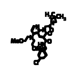 COCCN(CCOC)c1ccnc2c1cc(C(=O)NCc1ccc(Cl)cc1)c(=O)n2CC(=O)N1CC(C)(C)C1